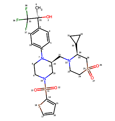 C[C@](O)(c1ccc(N2CCN(S(=O)(=O)c3cccs3)C[C@@H]2CN2CCS(=O)(=O)C[C@@H]2C2CC2)cc1)C(F)(F)F